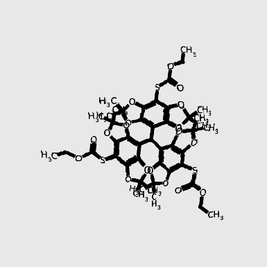 CCOC(=O)Sc1c2c(c([C](c3c4c(c(SC(=O)OCC)c5c3OC(C)(C)O5)OC(C)(C)O4)c3c4c(c(SC(=O)OCC)c5c3OC(C)(C)O5)OC(C)(C)O4)c3c1OC(C)(C)O3)OC(C)(C)O2